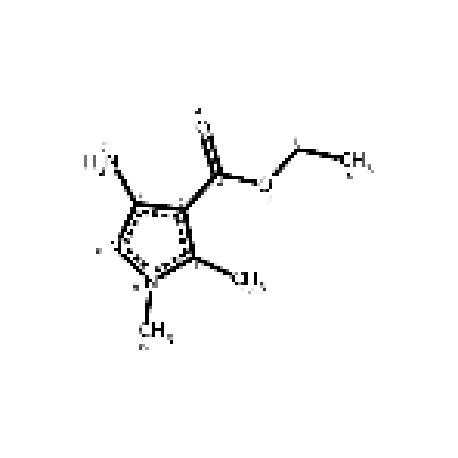 CCOC(=O)c1c(N)nn(C)c1C